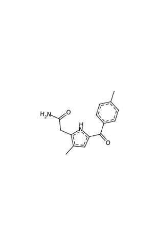 Cc1ccc(C(=O)c2cc(C)c(CC(N)=O)[nH]2)cc1